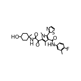 Cc1cc(NC(=O)c2c(C)c(C(=O)C(=O)NC3(C)CCC(O)CC3)n(C)c2-c2nccs2)ccc1F